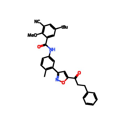 COc1c(C#N)cc(C(C)(C)C)cc1C(=O)Nc1ccc(C)c(-c2cc(C(=O)CCc3ccccc3)on2)c1